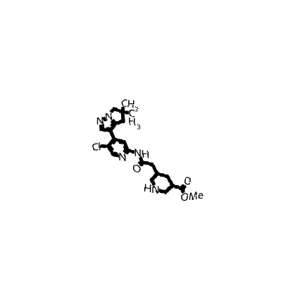 COC(=O)C1CNCC(CC(=O)Nc2cc(-c3cnn4c3CC(C)(C)C4)c(Cl)cn2)C1